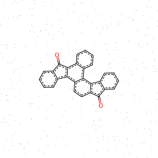 O=c1c2ccccc2c2c1ccc1c3c4ccccc4c(=O)c3c3ccccc3c12